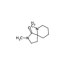 CN1CCC2(CCCCN2C)C1=O